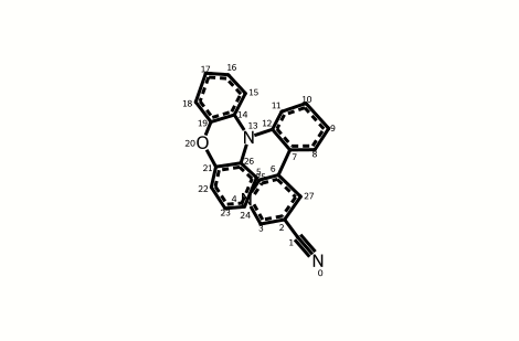 N#Cc1cncc(-c2ccccc2N2c3ccccc3Oc3ccccc32)c1